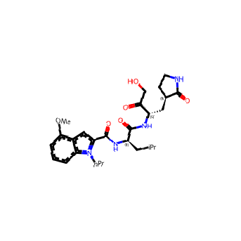 CCCn1c(C(=O)N[C@H](CC(C)C)C(=O)N[C@@H](C[C@H]2CCNC2=O)C(=O)CO)cc2c(OC)cccc21